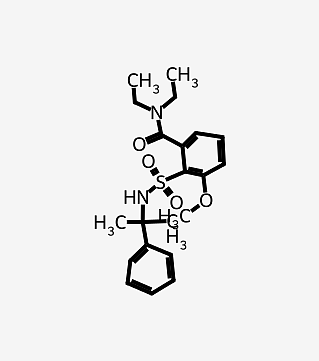 CCN(CC)C(=O)c1cccc(OC)c1S(=O)(=O)NC(C)(C)c1ccccc1